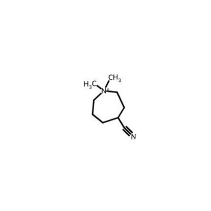 C[N+]1(C)CCCC(C#N)CC1